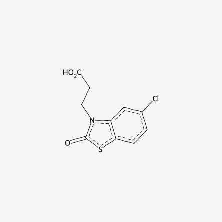 O=C(O)CCn1c(=O)sc2ccc(Cl)cc21